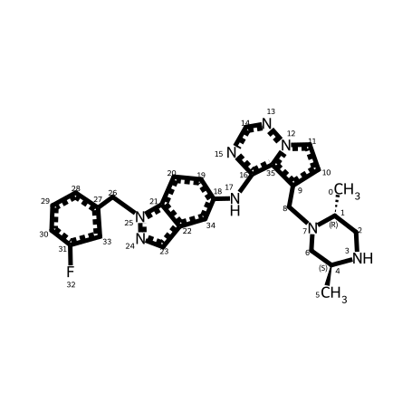 C[C@@H]1CN[C@@H](C)CN1Cc1ccn2ncnc(Nc3ccc4c(cnn4Cc4cccc(F)c4)c3)c12